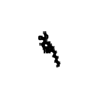 CCCCCCc1cc2cc(C(=O)OC)ccc2[nH]1